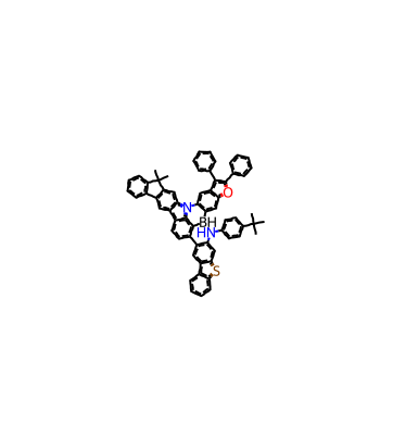 CC(C)(C)c1ccc(Nc2cc3sc4ccccc4c3cc2-c2ccc3c4cc5c(cc4n4c3c2Bc2cc3oc(-c6ccccc6)c(-c6ccccc6)c3cc2-4)C(C)(C)c2ccccc2-5)cc1